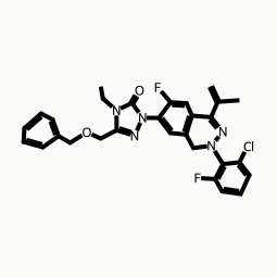 C=C(C)C1=NN(c2c(F)cccc2Cl)Cc2cc(-n3nc(COCc4ccccc4)n(CC)c3=O)c(F)cc21